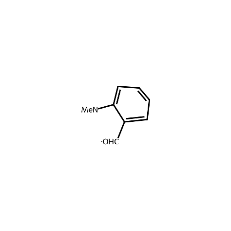 CNc1ccccc1[C]=O